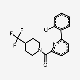 O=C(c1cccc(-c2ccccc2Cl)n1)N1CCC(C(F)(F)F)CC1